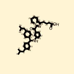 CC(C)Cc1ccc(C(Nc2cccc(C(=O)c3nc(CCCC(=O)O)c4ccccn34)c2)c2ccc(CC(C)C)cc2)cc1